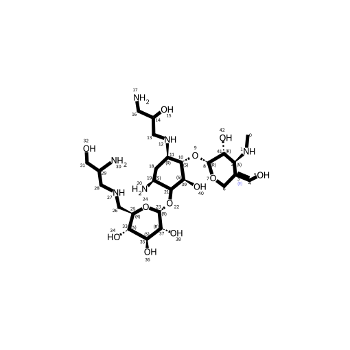 CN[C@H]1/C(=C\O)CO[C@H](O[C@H]2[C@H](NCC(O)CN)C[C@H](N)C(O[C@H]3O[C@H](CNCC(N)CO)[C@@H](O)[C@H](O)[C@H]3O)[C@@H]2O)[C@@H]1O